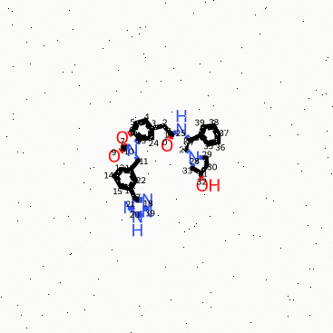 O=C(Cc1ccc2oc(=O)n(Cc3cccc(-c4nn[nH]n4)c3)c2c1)N[C@H](CN1CCC(O)C1)c1ccccc1